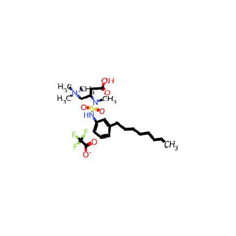 CCCCCCCCc1cccc(NS(=O)(=O)N(C)C(CC(=O)O)C[N+](C)(C)C)c1.O=C([O-])C(F)(F)F